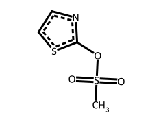 CS(=O)(=O)Oc1nccs1